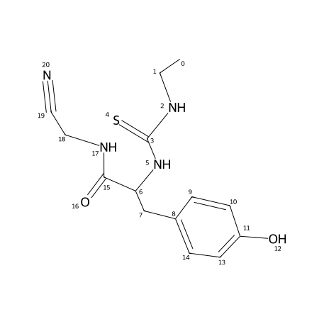 CCNC(=S)NC(Cc1ccc(O)cc1)C(=O)NCC#N